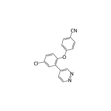 N#Cc1ccc(Oc2ccc(Cl)cc2-c2ccnnc2)cc1